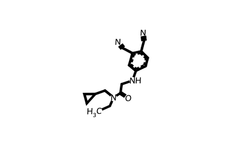 CCN(CC1CC1)C(=O)CNc1ccc(C#N)c(C#N)c1